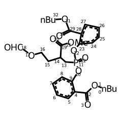 CCCCOC(=O)c1ccccc1OP(=O)(CC(CCOC=O)C(=O)OC)Oc1ccccc1C(=O)OCCCC